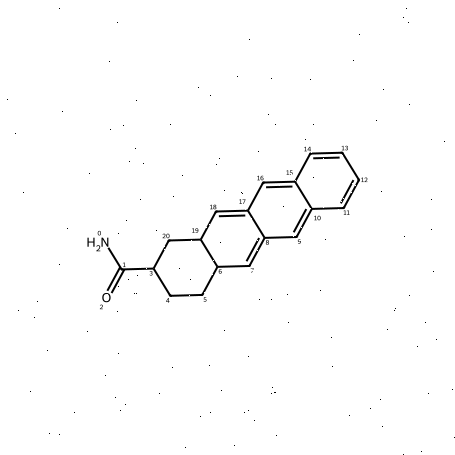 NC(=O)C1CCC2C=c3cc4ccccc4cc3=CC2C1